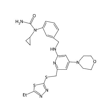 CCc1nnc(SCc2cc(N3CCOCC3)cc(NCc3cccc(N(C(N)=O)C4CC4)c3)n2)s1